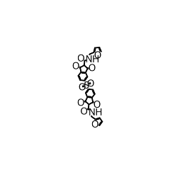 O=C(NCc1ccco1)C1C(=O)c2ccc(S(=O)(=O)c3ccc4c(c3)C(=O)C(C(=O)NCc3ccco3)C4=O)cc2C1=O